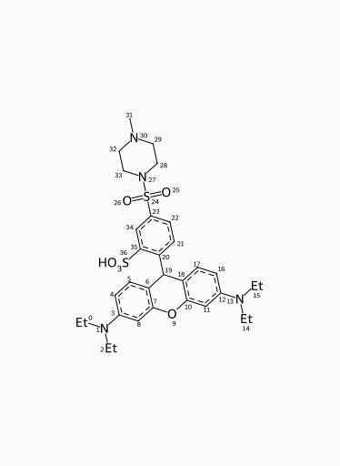 CCN(CC)c1ccc2c(c1)Oc1cc(N(CC)CC)ccc1C2c1ccc(S(=O)(=O)N2CCN(C)CC2)cc1S(=O)(=O)O